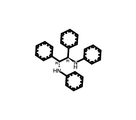 c1ccc(N[C@H](c2ccccc2)[C@H](Nc2ccccc2)c2ccccc2)cc1